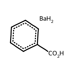 O=C(O)c1ccccc1.[BaH2]